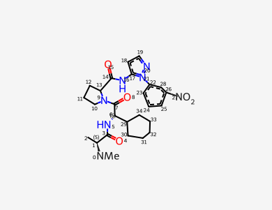 CN[C@@H](C)C(=O)N[C@H](C(=O)N1CCCC1C(=O)Nc1ccnn1-c1cccc([N+](=O)[O-])c1)C1CCCCC1